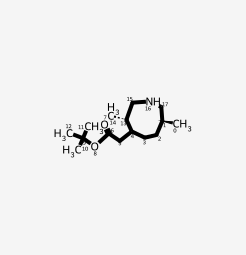 C[C@H]1CCC(CC(=O)OC(C)(C)C)[C@H](C)CNC1